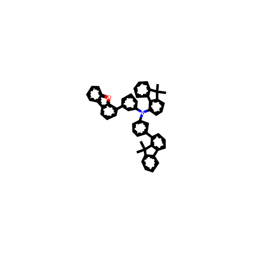 CC1(C)c2ccccc2-c2c(N(c3cccc(-c4cccc5c4C(C)(C)c4ccccc4-5)c3)c3cccc(-c4cccc5c4oc4ccccc45)c3)cccc21